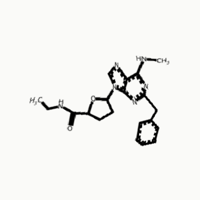 CCNC(=O)C1CCC(n2cnc3c(NC)nc(Cc4ccccc4)nc32)O1